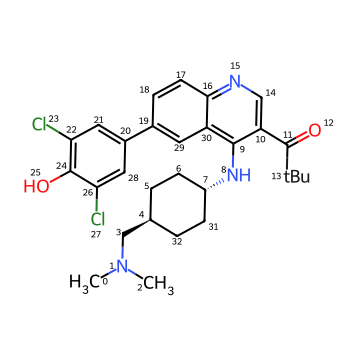 CN(C)C[C@H]1CC[C@H](Nc2c(C(=O)C(C)(C)C)cnc3ccc(-c4cc(Cl)c(O)c(Cl)c4)cc23)CC1